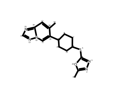 Cc1nnc(SC2CCC(c3cn4ncnc4cc3C)CC2)o1